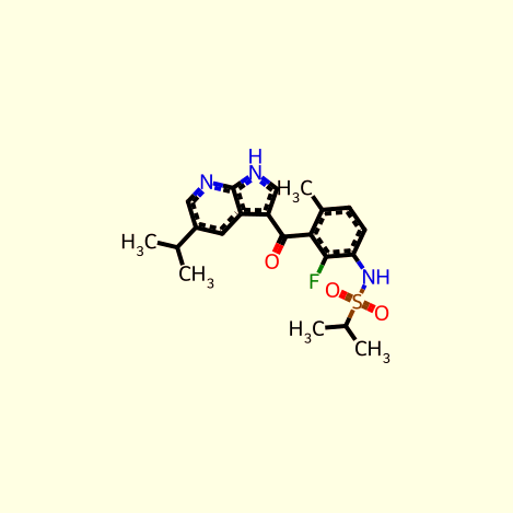 Cc1ccc(NS(=O)(=O)C(C)C)c(F)c1C(=O)c1c[nH]c2ncc(C(C)C)cc12